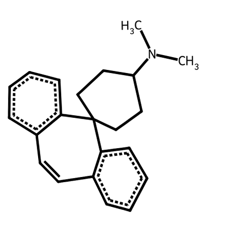 CN(C)C1CCC2(CC1)c1ccccc1C=Cc1ccccc12